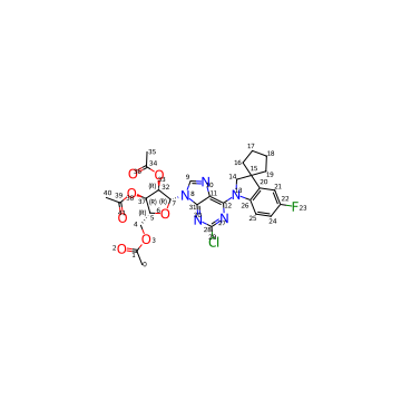 CC(=O)OC[C@H]1O[C@@H](n2cnc3c(N4CC5(CCCC5)c5cc(F)ccc54)nc(Cl)nc32)[C@H](OC(C)=O)[C@@H]1OC(C)=O